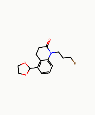 O=C1CCc2c(C3OCCO3)cccc2N1CCCBr